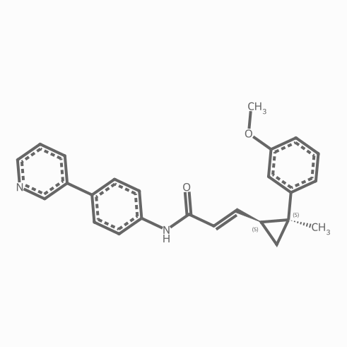 COc1cccc([C@@]2(C)C[C@H]2C=CC(=O)Nc2ccc(-c3cccnc3)cc2)c1